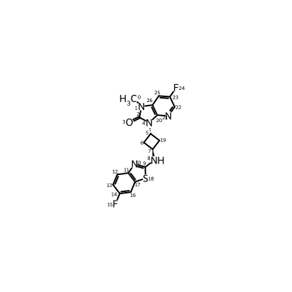 Cn1c(=O)n([C@H]2C[C@H](Nc3nc4ccc(F)cc4s3)C2)c2ncc(F)cc21